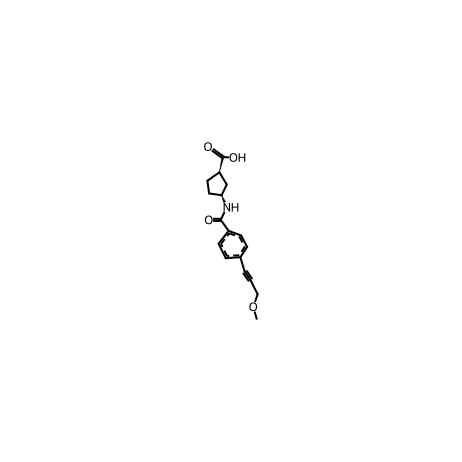 COCC#Cc1ccc(C(=O)N[C@H]2CC[C@@H](C(=O)O)C2)cc1